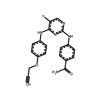 C#CCOc1ccc(Nc2nc(Nc3ccc(C(N)=O)cc3)ncc2F)cc1